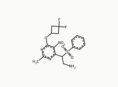 Cc1nc(OC2CC(F)(F)C2)c([N+](=O)[O-])c(C(CN)S(=O)(=O)c2ccccc2)n1